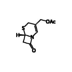 CC(=O)OCC1=CN2C(=O)C[C@@H]2SC1